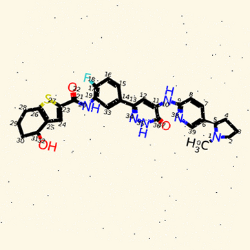 CN1CCC[C@@H]1c1ccc(Nc2cc(-c3ccc(F)c(NC(=O)c4cc5c(s4)CCCC5O)c3)n[nH]c2=O)nc1